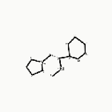 CN[C@H](CN1CCCC1)C1CCCCC1